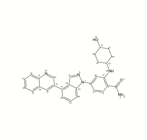 NC(=O)c1ccc(-n2ncc3c(-c4cnc5ccccc5c4)cccc32)cc1NC1CCC(O)CC1